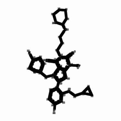 CC(C)n1c(=O)n(CCCOC2CCCCO2)c(=O)c2c1nc(-c1ccc(F)nc1OCC1CC1)n2Cc1ccc(F)cc1